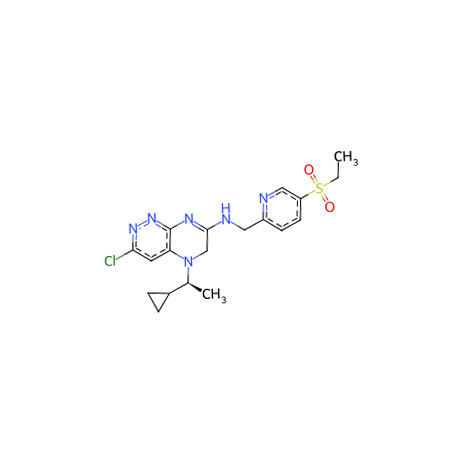 CCS(=O)(=O)c1ccc(CNC2=Nc3nnc(Cl)cc3N([C@@H](C)C3CC3)C2)nc1